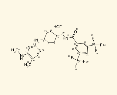 CNc1nc(N[C@H]2CC[C@@H](CNC(=O)c3cc(C(F)(F)F)cc(C(F)(F)F)c3)CC2)ncc1C.Cl